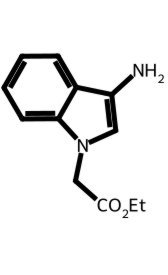 CCOC(=O)Cn1cc(N)c2ccccc21